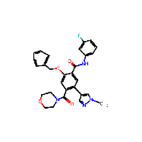 Cn1cc(-c2cc(C(=O)Nc3cccc(F)c3)c(OCc3ccccc3)cc2C(=O)N2CCOCC2)cn1